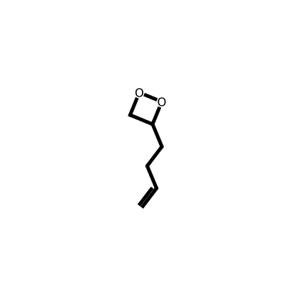 C=CCCC1COO1